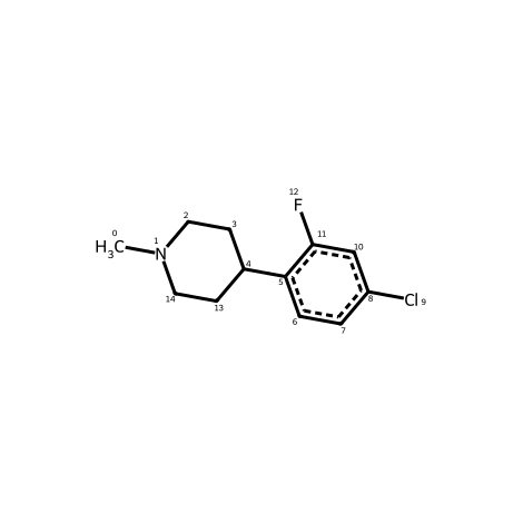 CN1CCC(c2ccc(Cl)cc2F)CC1